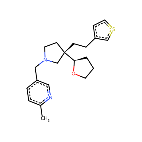 Cc1ccc(CN2CC[C@](CCc3ccsc3)([C@H]3CCCO3)C2)cn1